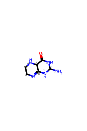 NC1NC(=O)C2NCCN=C2N1